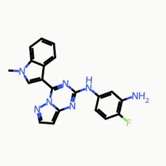 Cn1cc(-c2nc(Nc3ccc(F)c(N)c3)nc3ccnn23)c2ccccc21